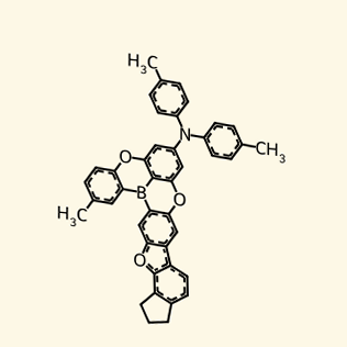 Cc1ccc(N(c2ccc(C)cc2)c2cc3c4c(c2)Oc2cc5c(cc2B4c2cc(C)ccc2O3)oc2c3c(ccc25)CCC3)cc1